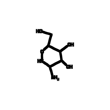 NC1NOC(CO)C(O)C1O